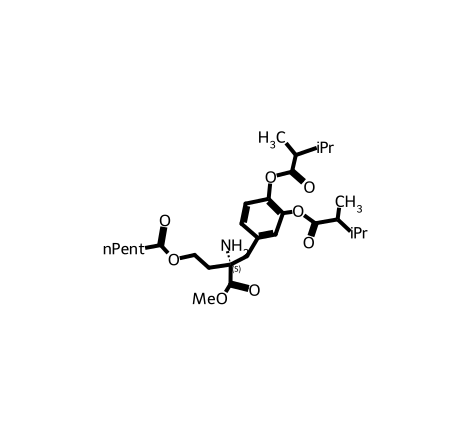 CCCCCC(=O)OCC[C@@](N)(Cc1ccc(OC(=O)C(C)C(C)C)c(OC(=O)C(C)C(C)C)c1)C(=O)OC